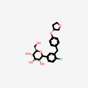 OC[C@H]1OC(c2ccc(Cl)c(Cc3ccc(O[C@@H]4CCOC4)cc3)c2)[C@H](O)[C@@H](O)[C@@H]1O